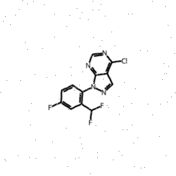 Fc1ccc(-n2ncc3c(Cl)ncnc32)c(C(F)F)c1